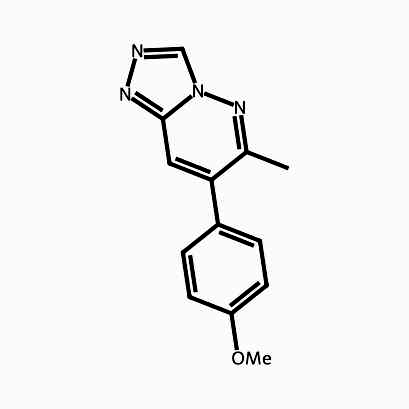 COc1ccc(-c2cc3nncn3nc2C)cc1